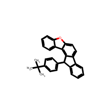 CC(C)(C)c1ccc(C2c3ccccc3-c3ccc4oc5ccccc5c4c32)cc1